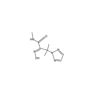 CNC(=O)/C(=N/O)C(C)(C)n1nccn1